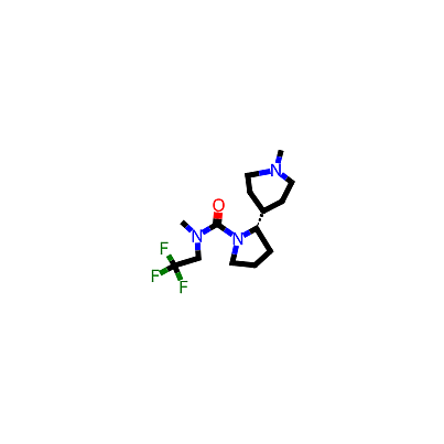 CN1CCC([C@@H]2CCCN2C(=O)N(C)CC(F)(F)F)CC1